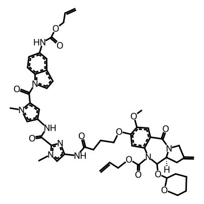 C=CCOC(=O)Nc1ccc2c(ccn2C(=O)c2cc(NC(=O)c3nc(NC(=O)CCCOc4cc5c(cc4OC)C(=O)N4CC(=C)C[C@H]4C(OC4CCCCO4)N5C(=O)OCC=C)cn3C)cn2C)c1